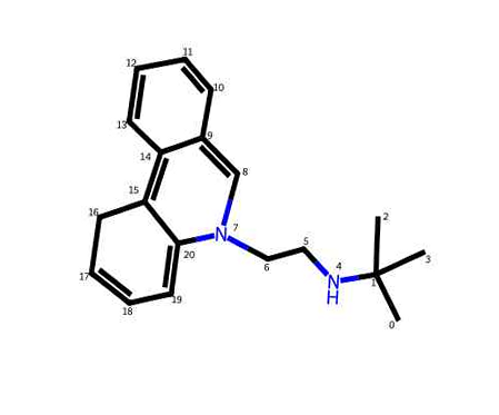 CC(C)(C)NCCN1C=c2ccccc2=C2CC=CC=C21